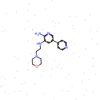 Nc1ncc(-c2ccncc2)cc1NCCN1CCOCC1